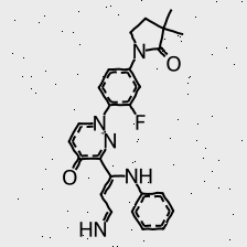 CC1(C)CCN(c2ccc(-n3ccc(=O)c(/C(=C/C=N)Nc4ccccc4)n3)c(F)c2)C1=O